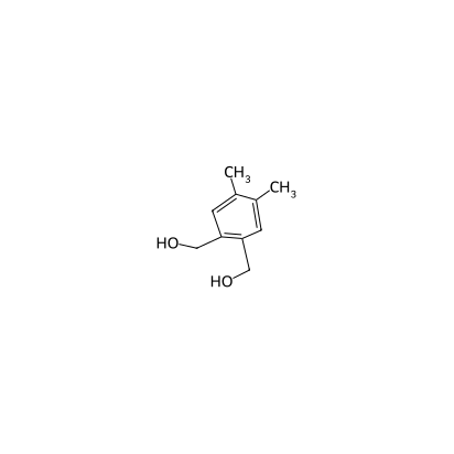 Cc1cc(CO)c(CO)cc1C